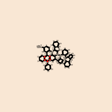 CC(C)(C)c1ccc(N2c3cc(N(c4ccccc4)c4ccccc4)cc4c3B(c3sc5ccccc5c32)N2c3ccccc3[Si]3(c5ccccc5-c5ccccc53)c3cccc-4c32)c(-c2ccccc2)c1